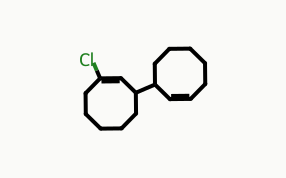 ClC1=CC(C2C=CCCCCC2)CCCCC1